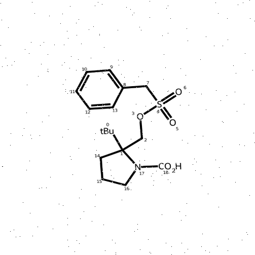 CC(C)(C)C1(COS(=O)(=O)Cc2ccccc2)CCCN1C(=O)O